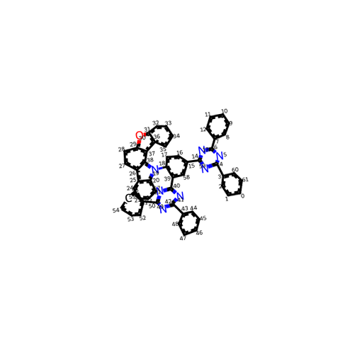 c1ccc(-c2nc(-c3ccccc3)nc(-c3ccc(-n4c5ccccc5c5ccc6oc7ccccc7c6c54)c(-c4nc(-c5ccccc5)nc(-c5ccccc5)n4)c3)n2)cc1